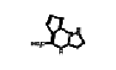 O=C(O)C1=C2C=CC=C2N2NCCC2N1